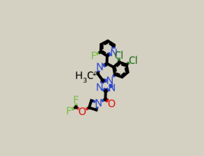 C[C@@H]1N=C(c2ncccc2F)c2c(ccc(Cl)c2Cl)-n2nc(C(=O)N3CC(OC(F)F)C3)nc21